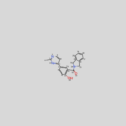 Cc1nccc(-c2ccc(O)c(C(=O)N3Cc4ccccc4C3)c2)n1